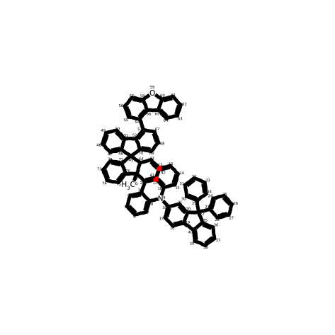 CC12C(c3ccccc3N(c3ccccc3)c3ccc4c(c3)C(c3ccccc3)(c3ccccc3)c3ccccc3-4)=CC=CC1C1(c3ccccc3-c3c(-c4cccc5oc6ccccc6c45)cccc31)c1ccccc12